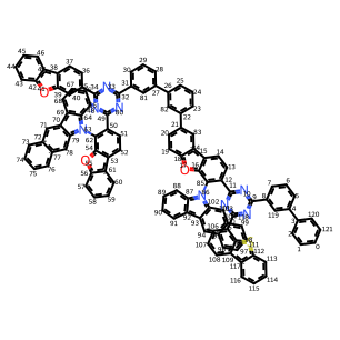 c1ccc(-c2cccc(-c3nc(-c4ccc5c(oc6ccc(-c7cccc(-c8cccc(-c9nc(-c%10ccc%11c(c%10)oc%10ccccc%10%11)nc(-c%10ccc%11c(oc%12ccccc%12%11)c%10-n%10c%11ccccc%11c%11cc%12ccccc%12cc%11%10)n9)c8)c7)cc65)c4-n4c5ccccc5c5cc6ccccc6cc54)nc(-c4cccc5c4sc4ccccc45)n3)c2)cc1